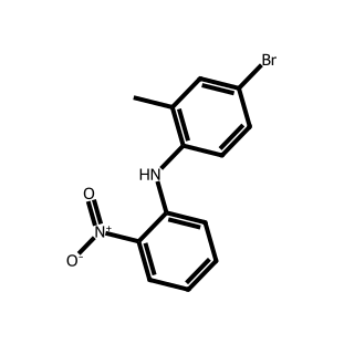 Cc1cc(Br)ccc1Nc1ccccc1[N+](=O)[O-]